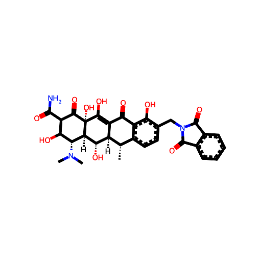 C[C@H]1c2ccc(CN3C(=O)c4ccccc4C3=O)c(O)c2C(=O)C2=C(O)[C@]3(O)C(=O)C(C(N)=O)C(O)[C@@H](N(C)C)[C@@H]3[C@@H](O)[C@@H]21